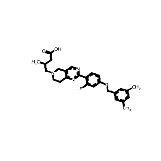 Cc1cc(C)cc(COc2ccc(-c3ncc4c(n3)CCN(CC(C)CC(=O)O)C4)c(F)c2)c1